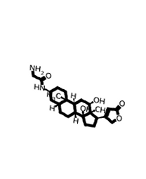 C[C@]12CC[C@H](NC(=O)CN)C[C@H]1CC[C@@H]1[C@@H]2C[C@@H](O)[C@]2(C)[C@@H](C3=CC(=O)OC3)CC[C@]12O